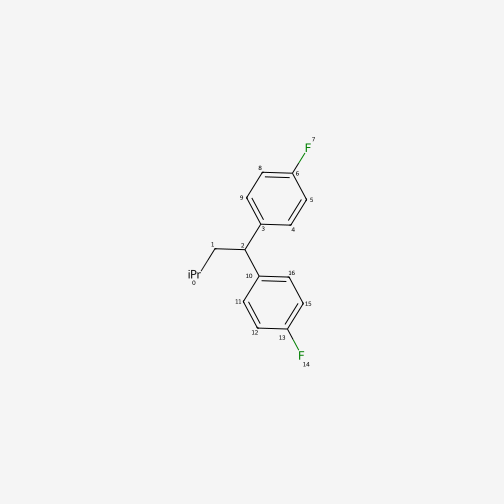 CC(C)CC(c1ccc(F)cc1)c1ccc(F)cc1